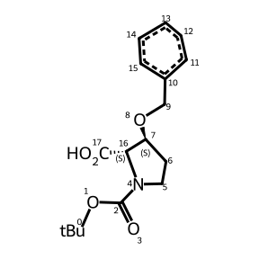 CC(C)(C)OC(=O)N1CC[C@H](OCc2ccccc2)[C@H]1C(=O)O